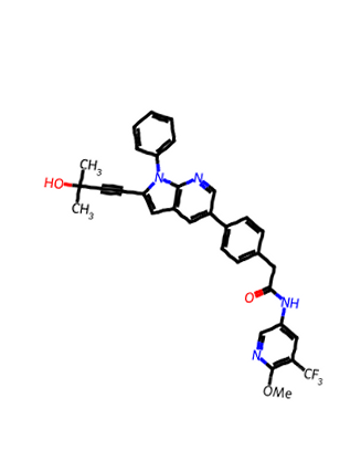 COc1ncc(NC(=O)Cc2ccc(-c3cnc4c(c3)cc(C#CC(C)(C)O)n4-c3ccccc3)cc2)cc1C(F)(F)F